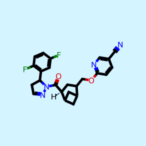 N#Cc1ccc(OCC2C[C@H](C(=O)N3N=CCC3c3cc(F)ccc3F)C3CC2C3)nc1